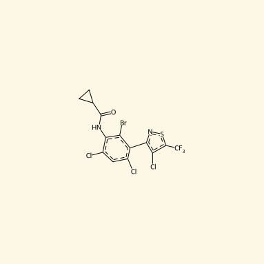 O=C(Nc1c(Cl)cc(Cl)c(-c2nsc(C(F)(F)F)c2Cl)c1Br)C1CC1